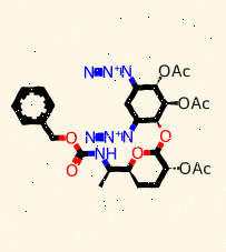 CC(=O)O[C@H]1[C@H](OC2O[C@H]([C@@H](C)NC(=O)OCc3ccccc3)CC[C@H]2OC(C)=O)C(N=[N+]=[N-])CC(N=[N+]=[N-])[C@@H]1OC(C)=O